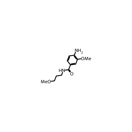 COCCCNC(=O)c1ccc(N)c(OC)c1